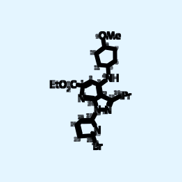 CCOC(=O)c1cc(NC2CCC(OC)CC2)c2c(C(C)C)nn(-c3cccc(Br)n3)c2n1